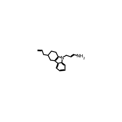 C=CCC1CCc2c(c3ccccc3n2CC=CN)C1